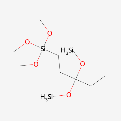 [CH2]CC(CC[Si](OC)(OC)OC)(O[SiH3])O[SiH3]